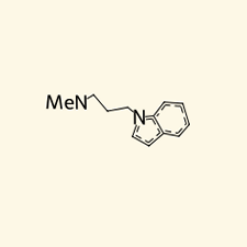 CNCCCn1ccc2ccccc21